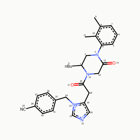 CCCCC1CN(c2cccc(C)c2C)C(=O)CN1C(=O)Cc1cncn1Cc1ccc(C#N)cc1